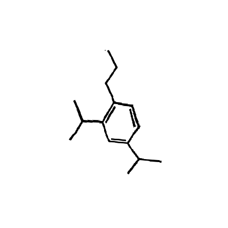 [CH2]CCc1ccc(C(C)C)cc1C(C)C